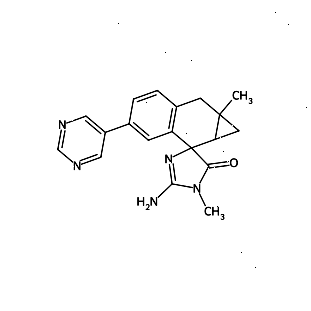 CN1C(=O)C2(N=C1N)c1cc(-c3cncnc3)ccc1CC1(C)CC12